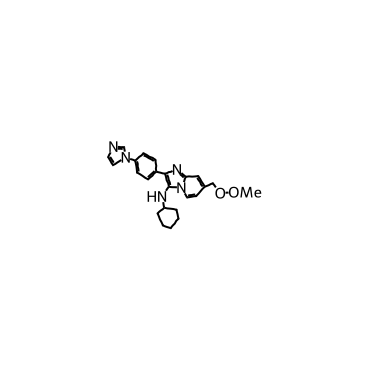 COOCc1ccn2c(NC3CCCCC3)c(-c3ccc(-n4ccnc4)cc3)nc2c1